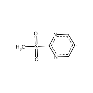 CS(=O)(=O)c1nc[c]cn1